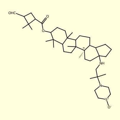 CC1(C)C(C=O)CC1C(=O)OC1CCC2(C)C(CCC3(C)C2CCC2C4CCCC4(NCC(C)(C)N4CC[S+]([O-])CC4)CC[C@]23C)C1(C)C